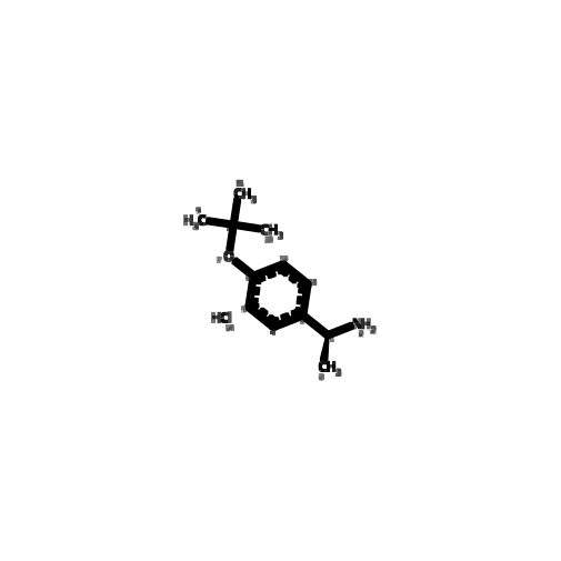 C[C@H](N)c1ccc(OC(C)(C)C)cc1.Cl